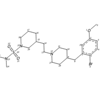 COc1ccc(Br)c(CC2CCN(CCC3CCCN(S(=O)(=O)N(C)C)C3)CC2)c1